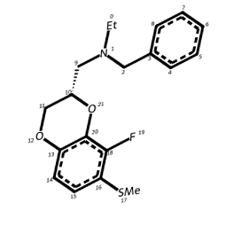 CCN(Cc1ccccc1)C[C@H]1COc2ccc(SC)c(F)c2O1